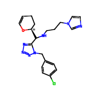 Clc1ccc(Cn2nnnc2C(NCCCn2ccnc2)[C@@H]2CCC=CO2)cc1